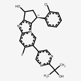 CC(C)(O)c1ncc(-c2cn3c4c(nc3cc2F)C(O)C[C@H]4c2ccccc2Cl)cn1